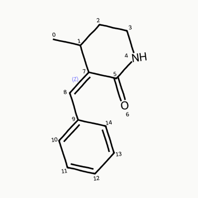 CC1CCNC(=O)/C1=C\c1ccccc1